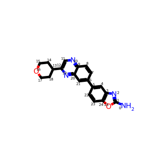 Nc1nc2cc(-c3ccc4ncc(C5CCOCC5)nc4c3)ccc2o1